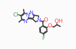 Cc1nc2c3c(nn2c(C)c1Cl)CN(C(=O)c1ccc(F)cc1OCC(C)O)C3